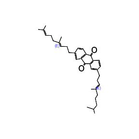 CC(C)=CCC/C(C)=C/CCc1ccc2c(c1)C(=O)c1cc(CC/C=C(\C)CCCC(C)C)ccc1C2=O